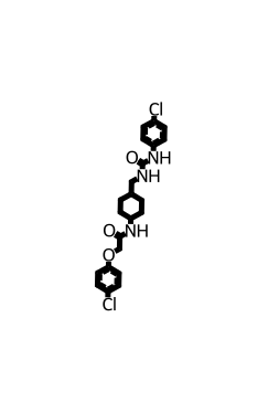 O=C(COc1ccc(Cl)cc1)NC1CCC(CNC(=O)Nc2ccc(Cl)cc2)CC1